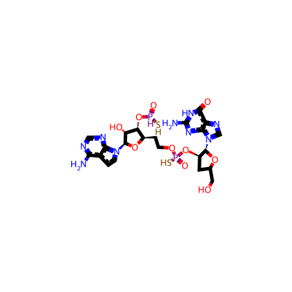 Nc1nc2c(ncn2[C@@H]2OC(CO)C[C@H]2OP(=O)(S)OCC[C@H]2O[C@@H](n3ccc4c(N)ncnc43)[C@H](O)[C@@H]2O[PH](=O)S)c(=O)[nH]1